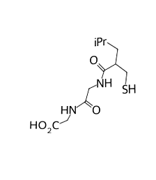 CC(C)CC(CS)C(=O)NCC(=O)NCC(=O)O